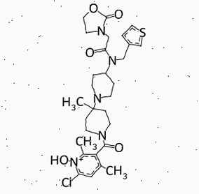 Cc1cc(Cl)[n+](O)c(C)c1C(=O)N1CCC(C)(N2CCC(N(Cc3ccsc3)C(=O)CN3CCOC3=O)CC2)CC1